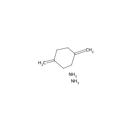 C=C1CCC(=C)CC1.N.N